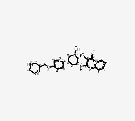 CN1C[C@H](Nc2nc3ccccn3c(=O)c2Br)C[C@H](c2ccc(OCC3CNCCO3)cc2)C1